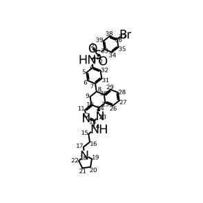 O=S(=O)(Nc1ccc(C2Cc3cnc(NCCCN4CCCC4)nc3-c3ccccc32)cc1)c1ccc(Br)cc1